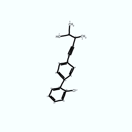 CC(O)C(C)C#Cc1ccc(-c2ccccc2Cl)cc1